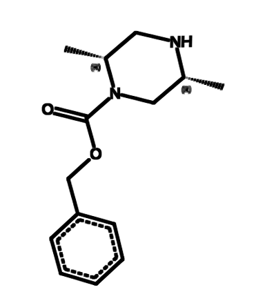 C[C@@H]1CN(C(=O)OCc2ccccc2)[C@H](C)CN1